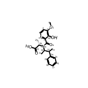 COc1ccnc(C(=O)N(C(C)C(C)c2ccccc2)[C@@H](C)C(=O)O)c1O